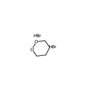 Br.Br.C1CCOOC1